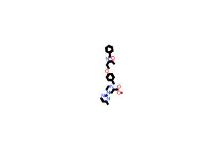 COC(=O)C1CN(c2nccc(C)n2)CCN1Cc1ccc(OCCc2nc(-c3ccccc3)oc2C)cc1